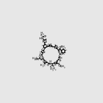 CNC(=O)CC1NC(=O)c2csc(n2)-c2ccc(-c3nc(NC(C)=O)cs3)nc2-c2csc(n2)-c2csc(n2)C(C(OC)c2ccccc2)NC(=O)CNC(=O)c2nc(sc2COC)C(C(C)C)NC(=O)c2nc1sc2C